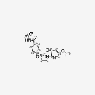 CCOc1cnc(N2CCC(Oc3ccc([C@H](C)NC(C)=O)cc3)C2)c(Cl)c1